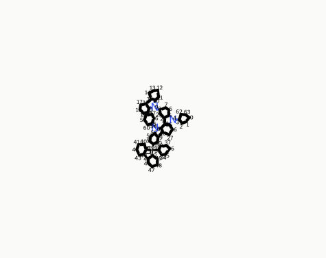 c1ccc(-n2c3ccc(-n4c5ccccc5c5ccccc54)cc3c3c2ccc2c4cc([Si]5(c6ccccc6)c6ccccc6-c6ccccc65)ccc4n(-c4ccccc4)c23)cc1